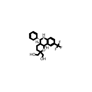 OCC1(CO)CC[C@@H]2[C@H](O1)c1cc(C(F)(F)F)ccc1N[C@H]2C1C=CC=CC1